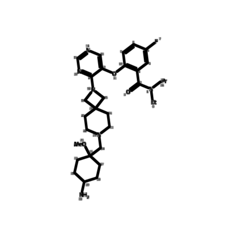 CCN(C(=O)c1cc(F)ccc1Oc1cncnc1N1CC2(CCN(CC3(OC)CCC(N)CC3)CC2)C1)C(C)C